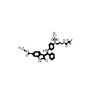 CCOC(=O)c1ccc2c(c1)NC(=O)/C2=C(/Nc1ccc(N(CCCNC(=O)C(F)(F)F)S(C)(=O)=O)cc1)c1ccccc1